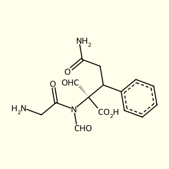 NCC(=O)N(C=O)[C@](C=O)(C(=O)O)C(CC(N)=O)c1ccccc1